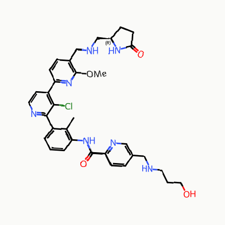 COc1nc(-c2ccnc(-c3cccc(NC(=O)c4ccc(CNCCCO)cn4)c3C)c2Cl)ccc1CNC[C@H]1CCC(=O)N1